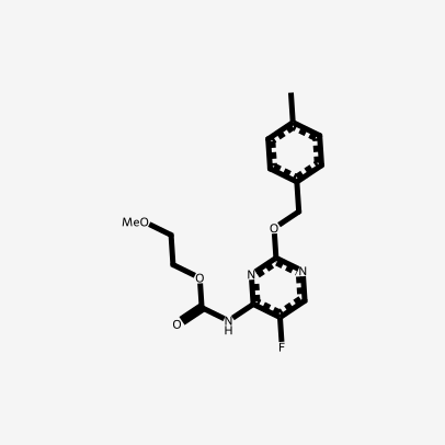 COCCOC(=O)Nc1nc(OCc2ccc(C)cc2)ncc1F